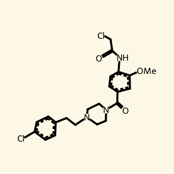 COc1cc(C(=O)N2CCN(CCc3ccc(Cl)cc3)CC2)ccc1NC(=O)CCl